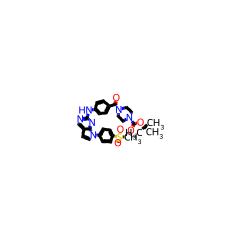 CC(C)(C)OC(=O)N1CCN(C(=O)c2ccc(Nc3ncc4ccn(-c5ccc(S(C)(=O)=O)cc5)c4n3)cc2)CC1